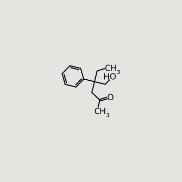 CCC(CO)(CC(C)=O)c1ccccc1